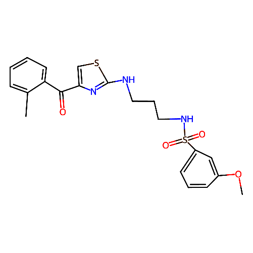 COc1cccc(S(=O)(=O)NCCCNc2nc(C(=O)c3ccccc3C)cs2)c1